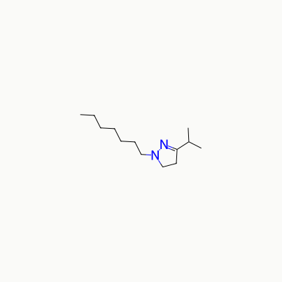 CCCCCCCN1CCC(C(C)C)=N1